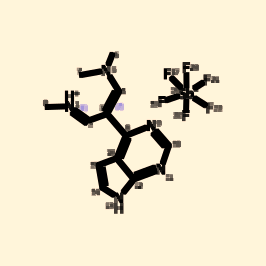 C/[NH+]=C/C(=C\N(C)C)c1ncnc2[nH]ccc12.[F][Sb-]([F])([F])([F])([F])[F]